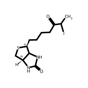 CC(I)C(=O)CCCC[C@@H]1SC[C@@H]2NC(=O)NC21